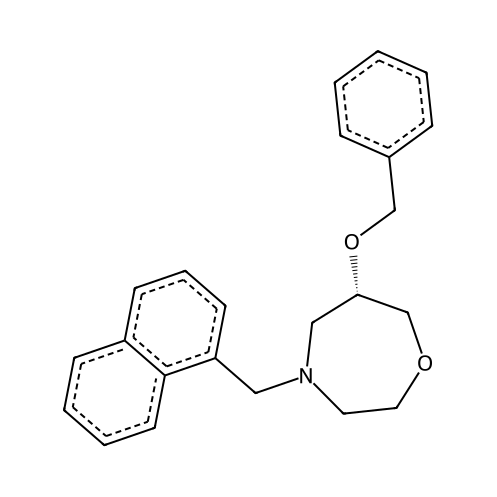 c1ccc(CO[C@@H]2COCCN(Cc3cccc4ccccc34)C2)cc1